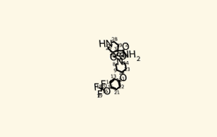 NC(=O)C1(S(=O)(=O)N2CCC(Oc3ccc(OC(F)(F)F)cc3)CC2)CCNCC1